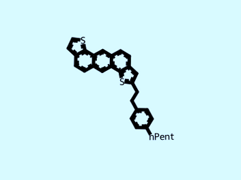 CCCCCc1ccc(CCc2cc3ccc4cc5c(ccc6ccsc65)cc4c3s2)cc1